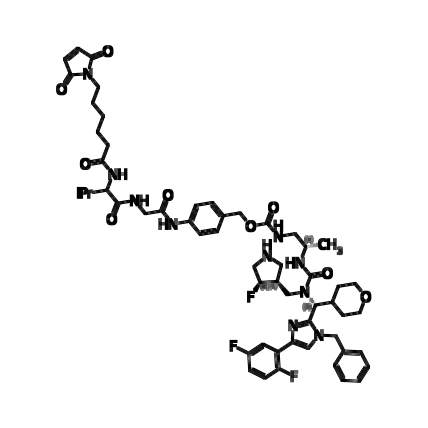 CC(C)C(NC(=O)CCCCCN1C(=O)C=CC1=O)C(=O)NCC(=O)Nc1ccc(COC(=O)NC[C@H](C)NC(=O)N(C[C@@H]2CNC[C@@H]2F)[C@@H](c2nc(-c3cc(F)ccc3F)cn2Cc2ccccc2)C2CCOCC2)cc1